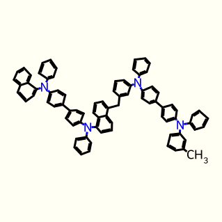 Cc1cccc(N(c2ccccc2)c2ccc(-c3ccc(N(c4ccccc4)c4cccc(Cc5cccc6c(N(c7ccccc7)c7ccc(-c8ccc(N(c9ccccc9)c9cccc%10ccccc9%10)cc8)cc7)cccc56)c4)cc3)cc2)c1